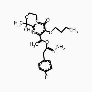 C=C(O/C(Cc1ccc(F)cc1)=N\N)c1nc2n(c(=O)c1OCCCC)CCOC2(C)C